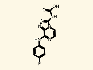 O=C(O)Nc1nnc2c(Nc3ccc(F)cc3)nccn12